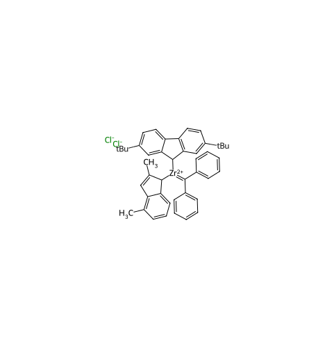 CC1=Cc2c(C)cccc2[CH]1[Zr+2](=[C](c1ccccc1)c1ccccc1)[CH]1c2cc(C(C)(C)C)ccc2-c2ccc(C(C)(C)C)cc21.[Cl-].[Cl-]